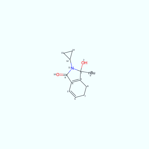 CCCCC1(O)C2=C(C=CCC2)C(=O)N1C1CC1